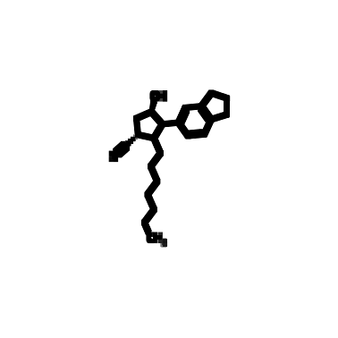 CCCCCCCC1C(c2ccc3c(c2)CCC3)[C@H](O)C[C@H]1C#N